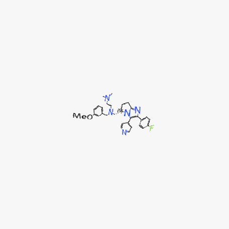 COc1cccc(CN(CCN(C)C)C[C@@H]2CCc3nc(-c4ccc(F)cc4)c(-c4ccncc4)n32)c1